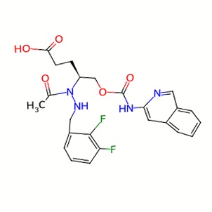 CC(=O)N(NCc1cccc(F)c1F)[C@@H](CCC(=O)O)COC(=O)Nc1cc2ccccc2cn1